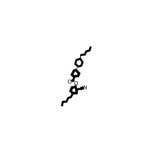 CCCCCc1ccc(OC(=O)c2ccc([C@H]3CC[C@H](CCCCC)CC3)cc2)c(C#N)c1